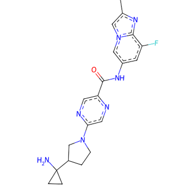 Cc1cn2cc(NC(=O)c3cnc(N4CCC(C5(N)CC5)C4)cn3)cc(F)c2n1